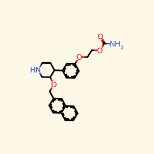 NC(=O)OCCOc1cccc(C2CCNCC2OCc2ccc3ccccc3c2)c1